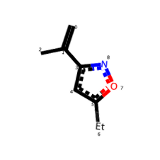 C=C(C)c1cc(CC)on1